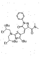 CCCCC(CC)CN(CC(CC)CCCC)c1nc(C(C)(C)C)c(/C=C2\C(=O)N(c3ccccc3)N=C2C(=O)N(C)C)s1